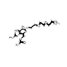 CCCOCCOCCO[C@@H]1OC(COC(C)=O)[C@H](OC(C)=O)C(O)[C@@H]1C